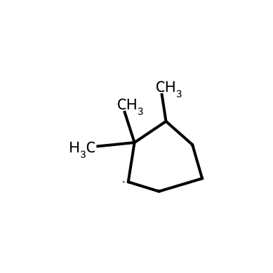 CC1CCC[CH]C1(C)C